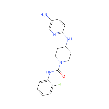 Nc1ccc(NC2CCN(C(=O)Nc3ccccc3F)CC2)nc1